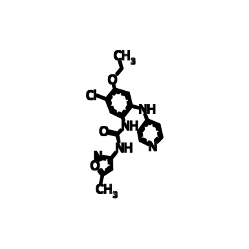 CCOc1cc(Nc2ccncc2)c(NC(=O)Nc2cc(C)on2)cc1Cl